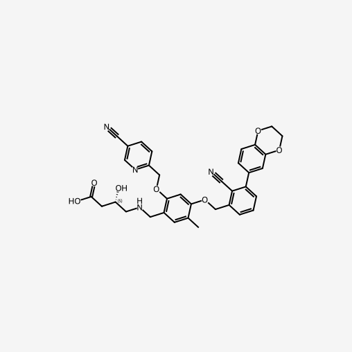 Cc1cc(CNC[C@@H](O)CC(=O)O)c(OCc2ccc(C#N)cn2)cc1OCc1cccc(-c2ccc3c(c2)OCCO3)c1C#N